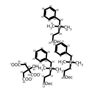 CCCCCCCCCCCC[N+](C)(C)Cc1ccccc1.CCCCCCCCCCCC[N+](C)(C)Cc1ccccc1.CCCCCCCCCCCC[N+](C)(C)Cc1ccccc1.O=C([O-])CC(O)(CC(=O)[O-])C(=O)[O-]